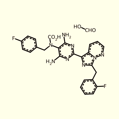 Nc1nc(-c2nc(Cc3ccccc3F)n3ncccc23)nc(N)c1N(Cc1ccc(F)cc1)C(=O)O.O=CO